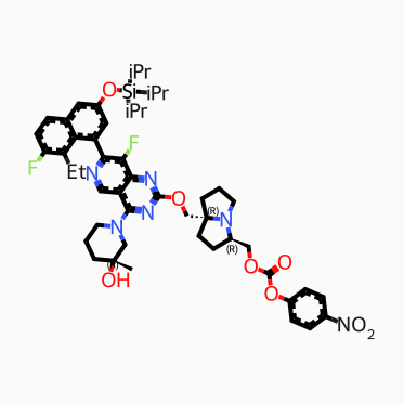 CCc1c(F)ccc2cc(O[Si](C(C)C)(C(C)C)C(C)C)cc(-c3ncc4c(N5CCC[C@@](C)(O)C5)nc(OC[C@]56CCCN5[C@@H](COC(=O)Oc5ccc([N+](=O)[O-])cc5)CC6)nc4c3F)c12